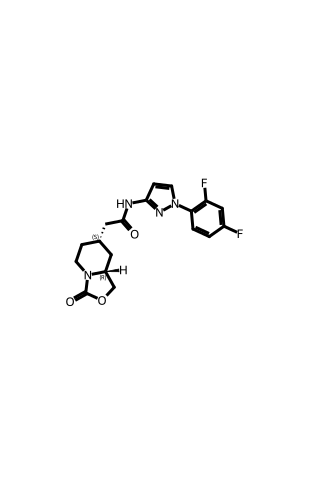 O=C(C[C@H]1CCN2C(=O)OC[C@H]2C1)Nc1ccn(-c2ccc(F)cc2F)n1